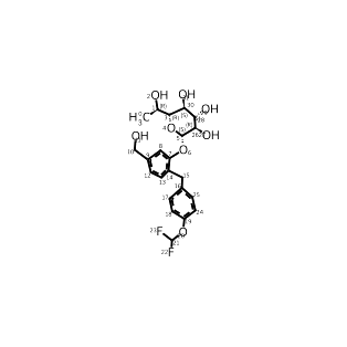 C[C@@H](O)[C@H]1O[C@@H](Oc2cc(CO)ccc2Cc2ccc(OC(F)F)cc2)[C@H](O)[C@@H](O)[C@@H]1O